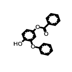 O=C(Oc1ccc(O)c(Oc2ccccc2)c1)c1ccccc1